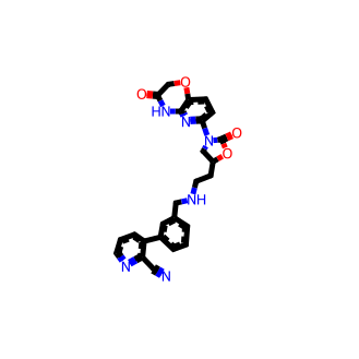 N#Cc1ncccc1-c1cccc(CNCCC2CN(c3ccc4c(n3)NC(=O)CO4)C(=O)O2)c1